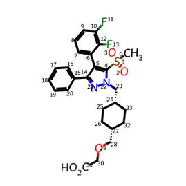 CS(=O)(=O)c1c(-c2cccc(F)c2F)c(-c2ccccc2)nn1C[C@H]1CC[C@@H](COCC(=O)O)CC1